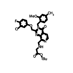 COc1cc(C)ccc1Cn1c(COc2ccc(F)c(Cl)c2)nc2c(CNCC(=O)OC(C)(C)C)nccc2c1=O